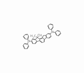 CC1(C)c2cc(N(c3ccccc3)c3ccccc3)ccc2-c2ccc3c(c21)Cc1cc(N(c2ccccc2)c2ccccc2)ccc1-3